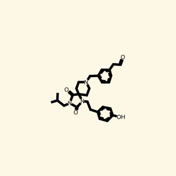 CC(C)CN1C(=O)N(CCc2ccc(O)cc2)C2(CCN(Cc3cccc(CC=O)c3)CC2)C1=O